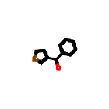 O=C(c1[c]scc1)c1ccccc1